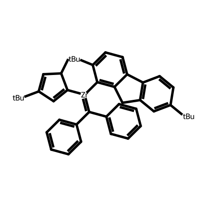 CC1C=C(C(C)(C)C)C=[C]1[Zr](=[C](c1ccccc1)c1ccccc1)[c]1c(C(C)(C)C)ccc2c1Cc1cc(C(C)(C)C)ccc1-2